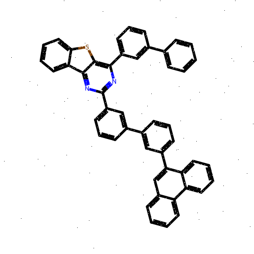 c1ccc(-c2cccc(-c3nc(-c4cccc(-c5cccc(-c6cc7ccccc7c7ccccc67)c5)c4)nc4c3sc3ccccc34)c2)cc1